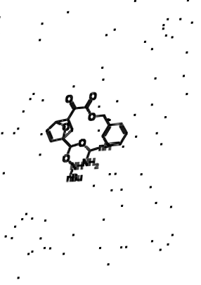 CCCCNOC(OC(N)CCC)C12C=CC(O1)C(C(=O)C(=O)OCc1ccccc1)C2